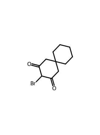 O=C1CC2(CCCCC2)CC(=O)C1Br